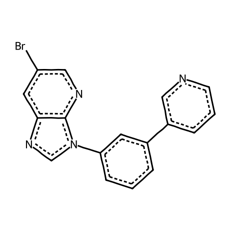 Brc1cnc2c(c1)ncn2-c1cccc(-c2cccnc2)c1